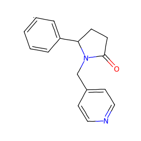 O=C1CCC(c2c[c]ccc2)N1Cc1ccncc1